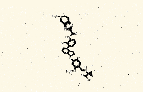 COc1cc(OC2CCc3c(-c4cccc(NC(=O)c5nc6c(o5)CCN(C)C6)c4Cl)cccc32)c(Cl)cc1CNC1(C(=O)O)CC1